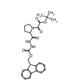 CC(C)(C)OC(=O)C(=O)N1CCCC1C(=O)NNC(=O)OCC1c2ccccc2-c2ccccc21